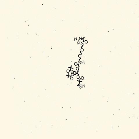 CC(N)C(=O)NCCOCCOCCNC(=O)COCC(COC(=O)C(C)(C)C)(COC(=O)C(C)(C)C)COC(=O)C(C)(C)C1CN1